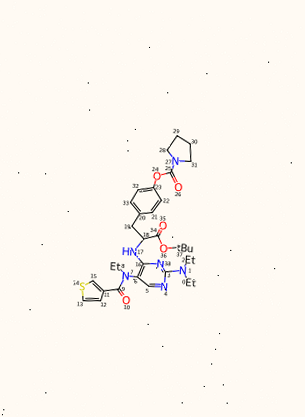 CCN(CC)c1ncc(N(CC)C(=O)c2ccsc2)c(NC(Cc2ccc(OC(=O)N3CCCC3)cc2)C(=O)OC(C)(C)C)n1